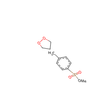 C1COOC1.COS(=O)(=O)c1ccc(C)cc1